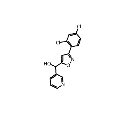 OC(c1cccnc1)c1cc(-c2ccc(Cl)cc2Cl)no1